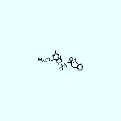 COCc1cc(C)cn2cc(C(=O)N3CC[C@]4(Cc5ccccc5CN4)[C@H](O)C3)nc12